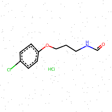 Cl.O=CNCCCOc1ccc(Cl)cc1